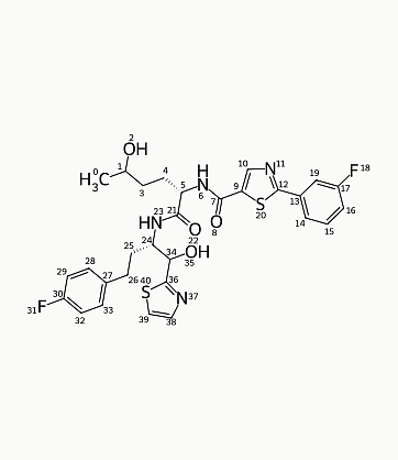 CC(O)CC[C@H](NC(=O)c1cnc(-c2cccc(F)c2)s1)C(=O)N[C@@H](CCc1ccc(F)cc1)C(O)c1nccs1